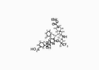 Cc1cccc(C)c1-c1nc(NS(=O)(=O)c2cccc(C(=O)O)c2)nc(OC[C@@H](CC(C)(C)C(F)(F)F)NC2CC3(CCN(C(=O)OC(C)(C)C)CC3)C2)c1C